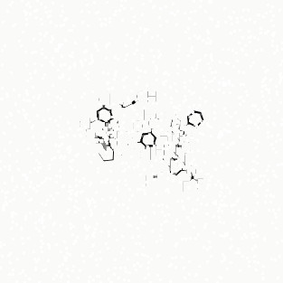 C#CCOc1cc(-n2nc3n(c2=O)CCCC3)c(Cl)cc1Cl.COc1c(Cl)ccc(Cl)c1C(=O)O.O=C(Nc1nc(OC(F)F)cc(OC(F)F)n1)NS(=O)(=O)c1ccccc1C(=O)O